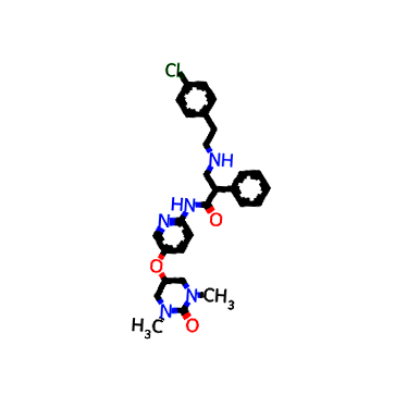 CN1CC(Oc2ccc(NC(=O)C(CNCCc3ccc(Cl)cc3)c3ccccc3)nc2)CN(C)C1=O